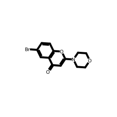 O=c1cc(N2CCOCC2)oc2ccc(Br)cc12